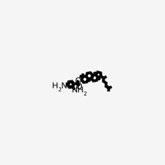 CC(C)=CCCC(C)C1CCC2(C)C3=C(CCC12C)C1(C)CCC(OC(=O)c2ccc(N)cc2N)C(C)(C)C1CC3